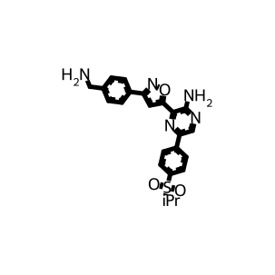 CC(C)S(=O)(=O)c1ccc(-c2cnc(N)c(-c3cc(-c4ccc(CN)cc4)no3)n2)cc1